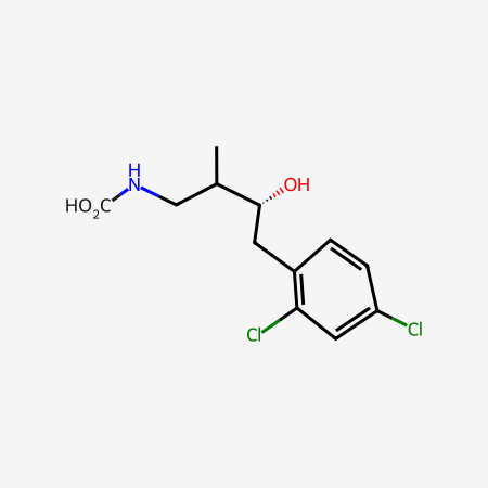 CC(CNC(=O)O)[C@H](O)Cc1ccc(Cl)cc1Cl